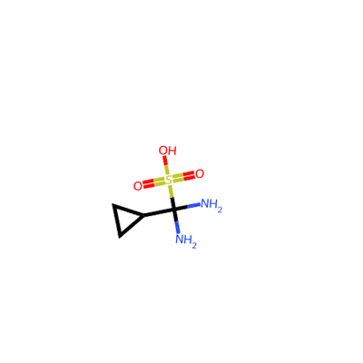 NC(N)(C1CC1)S(=O)(=O)O